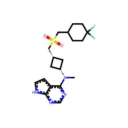 CN(c1ncnc2[nH]ccc12)[C@H]1C[C@@H](CS(=O)(=O)CC2CCC(F)(F)CC2)C1